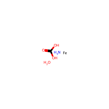 N.O.O=C(O)O.[Fe]